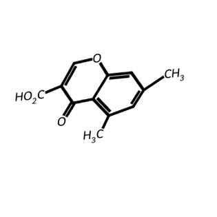 Cc1cc(C)c2c(=O)c(C(=O)O)coc2c1